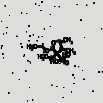 CCOC(=O)C(CC)(C(C)CC)P(=O)(O)O